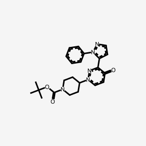 CC(C)(C)OC(=O)N1CCC(n2ccc(=O)c(-c3ccnn3-c3ccccc3)n2)CC1